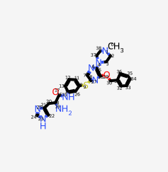 CN1CCN(c2ncc(Sc3cccc(NC(=O)C(N)Cc4c[nH]cn4)c3)nc2OCc2ccccc2)CC1